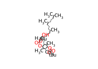 CC(C)=CCCC(C)=CCCC(C)=CCCC(C)(O)CCc1c(C)c(OC(=O)OC(C)(C)C)c(C)c(C)c1OC(=O)OC(C)(C)C